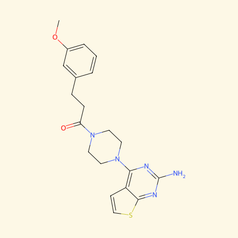 COc1cccc(CCC(=O)N2CCN(c3nc(N)nc4sccc34)CC2)c1